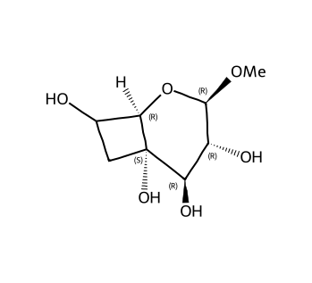 CO[C@@H]1O[C@@H]2C(O)C[C@]2(O)[C@H](O)[C@H]1O